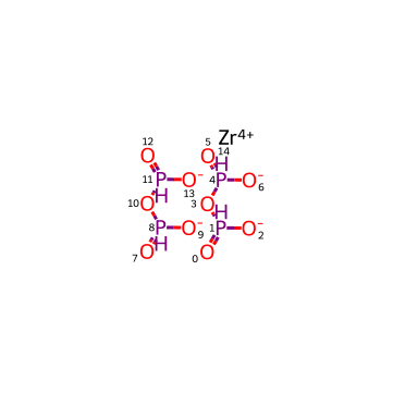 O=[PH]([O-])O[PH](=O)[O-].O=[PH]([O-])O[PH](=O)[O-].[Zr+4]